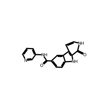 O=C(Nc1cccnc1)c1ccc2[nH]c3c(=O)[nH]ccc3c2c1